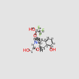 CCCN1C[C@@H](CO)O[C@H]2Cc3c(O)cccc3C[C@@H]21.O=C(O)C(F)(F)F